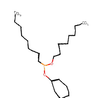 ClC(Cl)(Cl)CCCCCCCOP(CCCCCCCC(Cl)(Cl)Cl)OC1CCCCC1